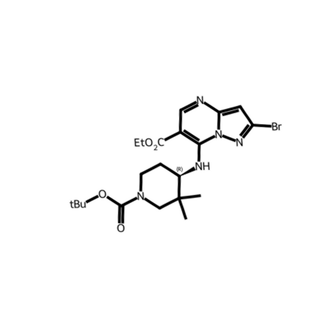 CCOC(=O)c1cnc2cc(Br)nn2c1N[C@@H]1CCN(C(=O)OC(C)(C)C)CC1(C)C